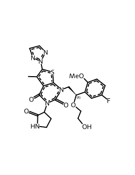 COc1ccc(F)cc1[C@H](Cn1c(=O)n(C2CCNC2=O)c(=O)c2c(C)c(-n3nccn3)sc21)OCCO